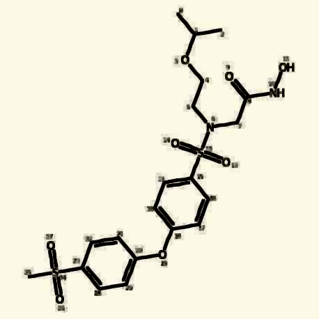 CC(C)OCCN(CC(=O)NO)S(=O)(=O)c1ccc(Oc2ccc(S(C)(=O)=O)cc2)cc1